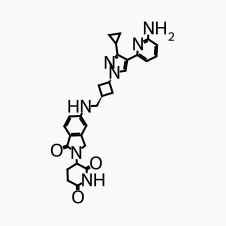 Nc1cccc(-c2cn([C@H]3C[C@H](CNc4ccc5c(c4)CN(C4CCC(=O)NC4=O)C5=O)C3)nc2C2CC2)n1